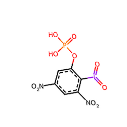 O=[N+]([O-])c1cc(OP(=O)(O)O)c(I(=O)=O)c([N+](=O)[O-])c1